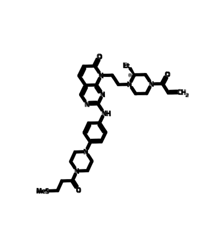 C=CC(=O)N1CCN(CCn2c(=O)ccc3cnc(Nc4ccc(N5CCN(C(=O)CCSC)CC5)cc4)nc32)[C@@H](CC)C1